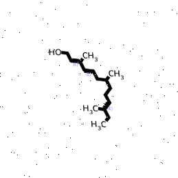 CC/C(C)=C/CCC(C)C/C=C/C(C)=C/CO